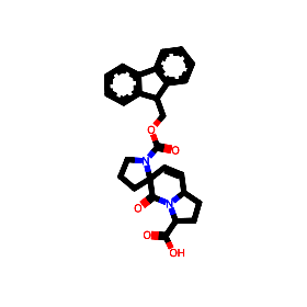 O=C(O)C1CCC2C=CC3(CCCN3C(=O)OCC3c4ccccc4-c4ccccc43)C(=O)N21